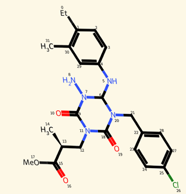 CCc1ccc(NC2N(N)C(=O)N(C[C@H](C)C(=O)OC)C(=O)N2Cc2ccc(Cl)cc2)cc1C